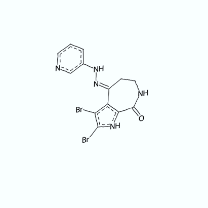 O=C1NCCC(=NNc2cccnc2)c2c1[nH]c(Br)c2Br